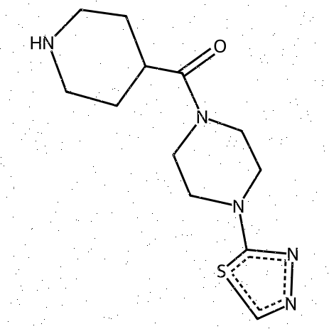 O=C(C1CCNCC1)N1CCN(c2nncs2)CC1